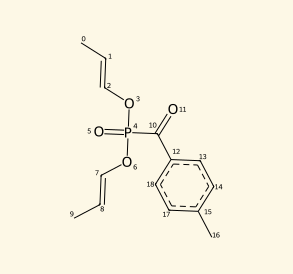 CC=COP(=O)(OC=CC)C(=O)c1ccc(C)cc1